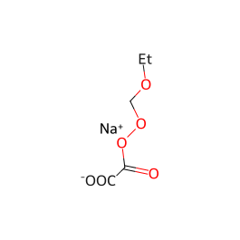 CCOCOOC(=O)C(=O)[O-].[Na+]